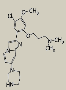 COc1cc(OCCCN(C)C)c(-c2cn3ccc(N4CCCNCC4)cc3n2)cc1Cl